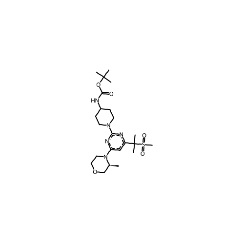 C[C@H]1COCCN1c1cc(C(C)(C)S(C)(=O)=O)nc(N2CCC(NC(=O)OC(C)(C)C)CC2)n1